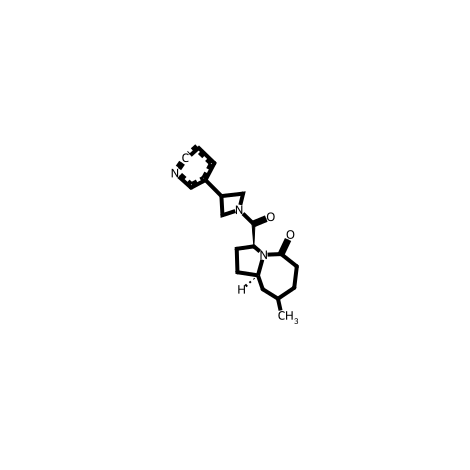 CC1CCC(=O)N2[C@H](CC[C@H]2C(=O)N2CC(c3cccnc3)C2)C1